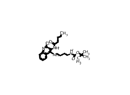 CCCCC(=O)Nc1c(Cl)nc2ccccc2c1NCCCCNC(=O)OC(C)(C)C